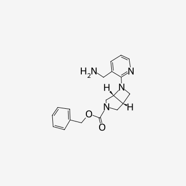 NCc1cccnc1N1C[C@@H]2CN(C(=O)OCc3ccccc3)C[C@@H]21